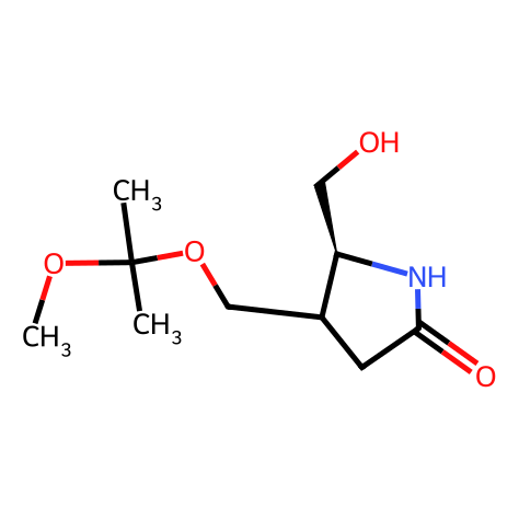 COC(C)(C)OCC1CC(=O)N[C@@H]1CO